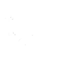 Cc1ccc(S(=O)(=O)OCc2ccccc2)c([N+](=O)[O-])c1[N+](=O)[O-]